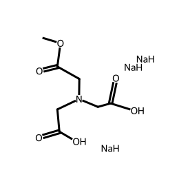 COC(=O)CN(CC(=O)O)CC(=O)O.[NaH].[NaH].[NaH]